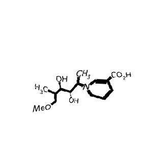 COCC(C)[C@@H](O)[C@@H](O)C(C)N1C=C(C(=O)O)C=CC1